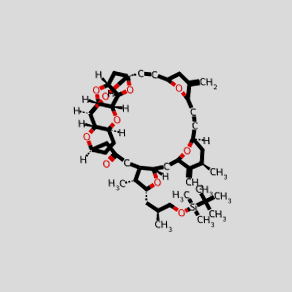 C=C1CC2CC[C@@]34C[C@H]5O[C@H]6[C@@H](O3)[C@H]3O[C@H](CC[C@@H]3O[C@H]6[C@H]5O4)CC(=O)CC3[C@H](CC4O[C@@H](CCC1O2)C[C@@H](C)C4=C)O[C@H](C[C@H](C)CO[Si](C)(C)C(C)(C)C)[C@@H]3C